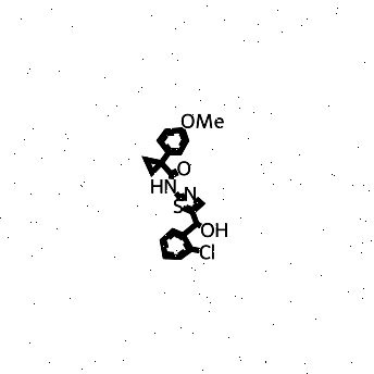 COc1ccc(C2(C(=O)Nc3ncc(C(O)c4ccccc4Cl)s3)CC2)cc1